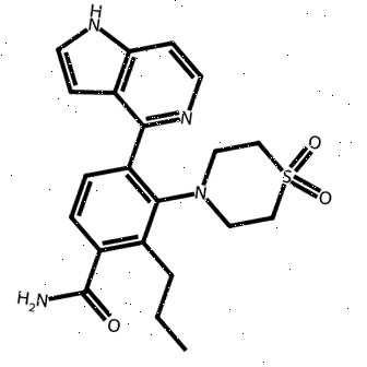 CCCc1c(C(N)=O)ccc(-c2nccc3[nH]ccc23)c1N1CCS(=O)(=O)CC1